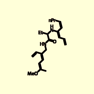 C=C/C=C(\C=C/CCC)NC(CC)C(=O)NC/C(C=C)=C/C=C(\C)OC